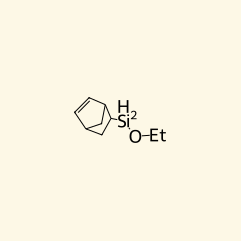 CCO[SiH2]C1CC2C=CC1C2